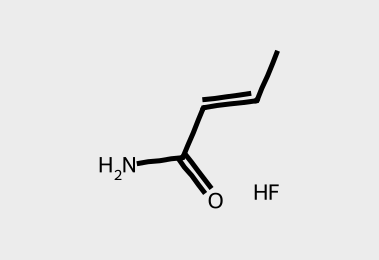 CC=CC(N)=O.F